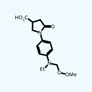 CCN(COOC)c1ccc(N2CC(C(=O)O)CC2=O)cc1